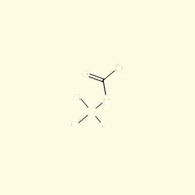 CCC(=O)O[Si](Cl)(Cl)Cl